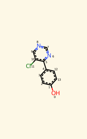 Oc1ccc(-c2ncncc2Cl)cc1